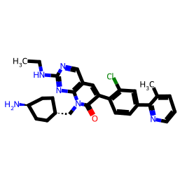 CCNc1ncc2cc(-c3ccc(-c4ncccc4C)cc3Cl)c(=O)n(C[C@H]3CC[C@H](N)CC3)c2n1